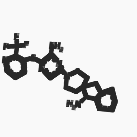 Nc1nc(N2CCC3(CC2)Cc2ccccc2[C@H]3N)cnc1Sc1cccnc1C(F)(F)F